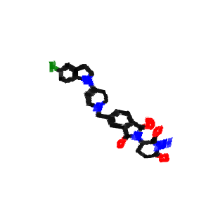 O=C1CCC(N2C(=O)c3ccc(CN4CCC(N5CCc6cc(F)ccc65)CC4)cc3C2=O)C(=O)N1